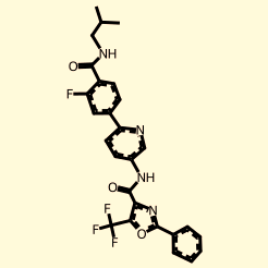 CC(C)CNC(=O)c1ccc(-c2ccc(NC(=O)c3nc(-c4ccccc4)oc3C(F)(F)F)cn2)cc1F